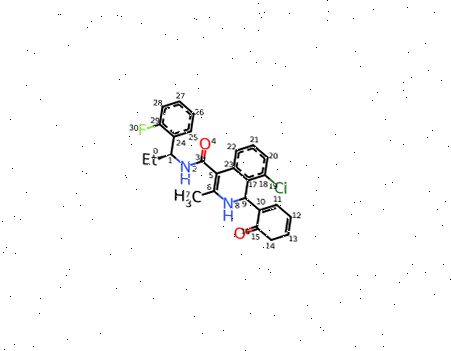 CC[C@H](NC(=O)C1=C(C)NC(C2=CC=CCC2=O)c2c(Cl)cccc21)c1ccccc1F